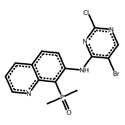 CP(C)(=O)c1c(Nc2nc(Cl)ncc2Br)ccc2cccnc12